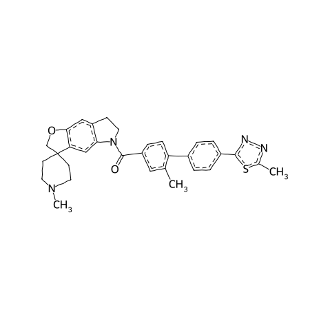 Cc1nnc(-c2ccc(-c3ccc(C(=O)N4CCc5cc6c(cc54)C4(CCN(C)CC4)CO6)cc3C)cc2)s1